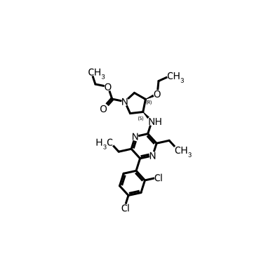 CCOC(=O)N1C[C@H](Nc2nc(CC)c(-c3ccc(Cl)cc3Cl)nc2CC)[C@H](OCC)C1